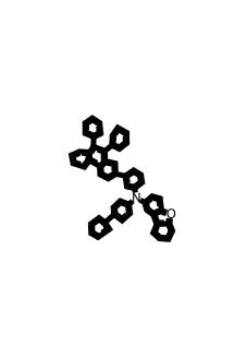 c1ccc(-c2ccc(N(c3cccc(-c4ccc5c(c4)c(-c4ccccc4)c(-c4ccccc4)c4ccccc45)c3)c3ccc4oc5ccccc5c4c3)cc2)cc1